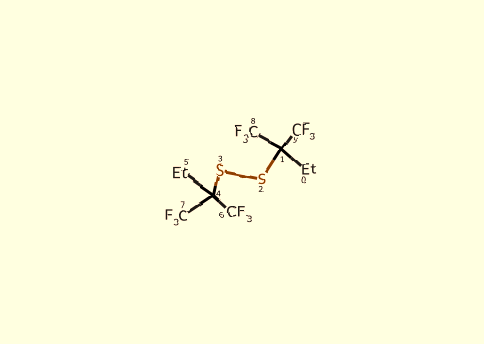 CCC(SSC(CC)(C(F)(F)F)C(F)(F)F)(C(F)(F)F)C(F)(F)F